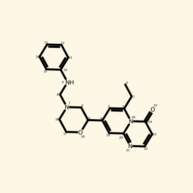 CCc1cc(C2CN(CNc3ccccc3)CCO2)cc2nccc(=O)n12